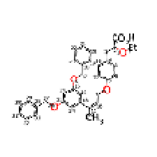 CCO[C@@H](Cc1ccc(OCC=C(C)c2cc(OCc3ccccc3)cc(OCc3ccccc3)c2)cc1)C(=O)O